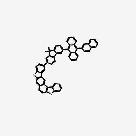 CC1(C)c2ccc(-c3c4ccccc4c(-c4ccc5ccccc5c4)c4ccccc34)cc2-c2ccc(-c3ccc4sc5cc6ccc7sc8ccccc8c7c6cc5c4c3)cc21